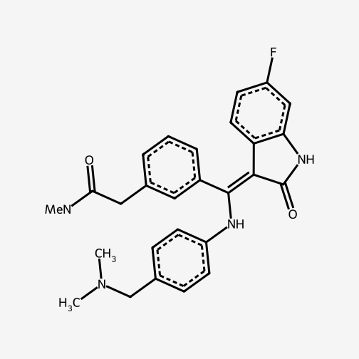 CNC(=O)Cc1cccc(/C(Nc2ccc(CN(C)C)cc2)=C2/C(=O)Nc3cc(F)ccc32)c1